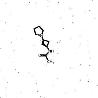 CC(=O)NC12CC(N3CCCC3)(C1)C2